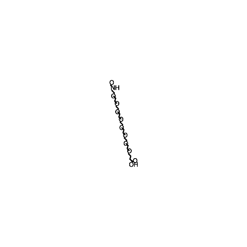 O=CNCCOCCOCCOCCOCCOCCOCCOCCOCCCC(=O)O